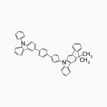 CC1(C)c2ccccc2-c2cc3c(cc21)c1ccccc1n3-c1ccc(-c2ccc(-c3ccc4c(c3)c3ccccc3n4-c3ccccc3)cc2)cc1